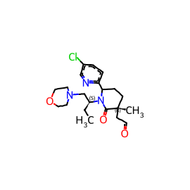 CC[C@@H](CN1CCOCC1)N1C(=O)[C@@](C)(CC=O)CCC1c1ccc(Cl)cn1